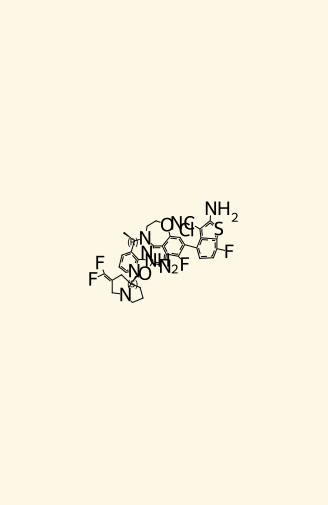 C[C@H](c1cccnc1N)N1CCOc2c(Cl)c(-c3ccc(F)c4sc(N)c(C#N)c34)c(F)c3nc(OC[C@@]45CCCN4CC(=C(F)F)C5)nc1c23